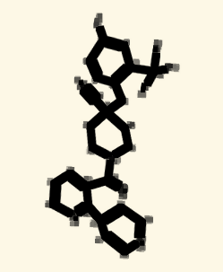 N#CC1(Cc2ccc(F)cc2C(F)(F)F)CCN(C(=O)c2cccnc2-c2ccncc2)CC1